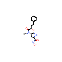 CCCN(C(=O)[C@@H](O)CCc1ccccc1)[C@@H]1CN[C@@H](C(=O)NO)C1